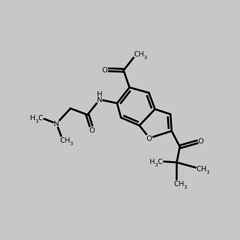 CC(=O)c1cc2cc(C(=O)C(C)(C)C)oc2cc1NC(=O)CN(C)C